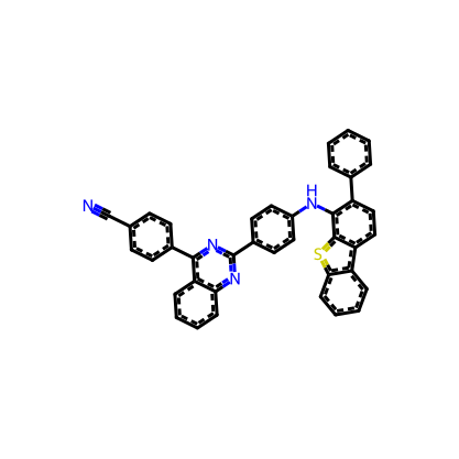 N#Cc1ccc(-c2nc(-c3ccc(Nc4c(-c5ccccc5)ccc5c4sc4ccccc45)cc3)nc3ccccc23)cc1